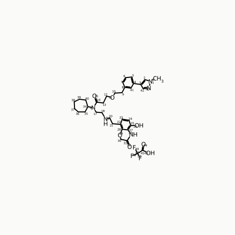 Cn1cc(-c2cccc(CCOCCC(=O)N(CCNCCc3ccc(O)c4c3OCC(=O)N4)C3CCCCCC3)c2)cn1.O=C(O)C(F)(F)F